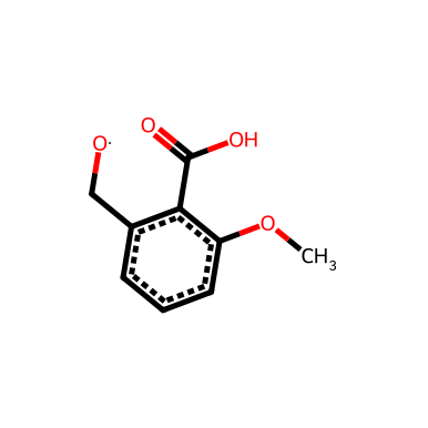 COc1cccc(C[O])c1C(=O)O